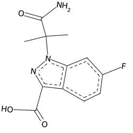 CC(C)(C(N)=O)n1nc(C(=O)O)c2ccc(F)cc21